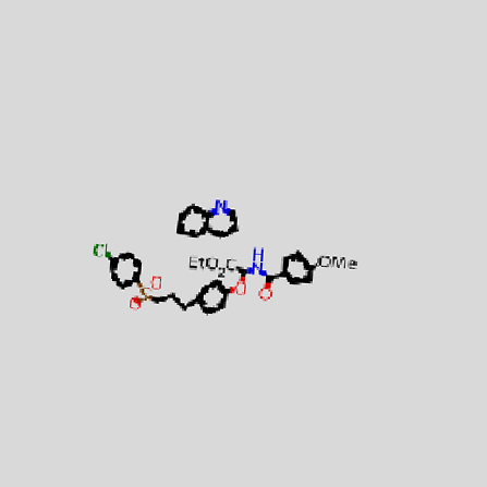 CCOC(=O)C(NC(=O)c1ccc(OC)cc1)Oc1ccc(CCCS(=O)(=O)c2ccc(Cl)cc2)cc1.c1ccc2ncccc2c1